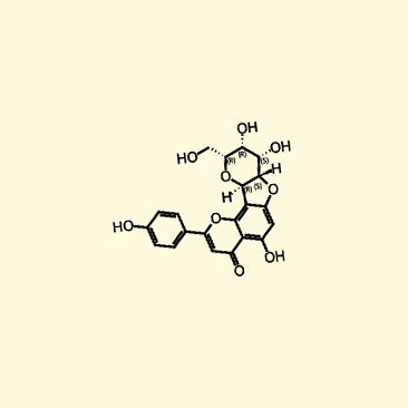 O=c1cc(-c2ccc(O)cc2)oc2c3c(cc(O)c12)O[C@H]1[C@@H](O)[C@@H](O)[C@@H](CO)O[C@H]31